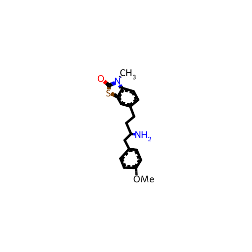 COc1ccc(CC(N)CCc2ccc3c(c2)sc(=O)n3C)cc1